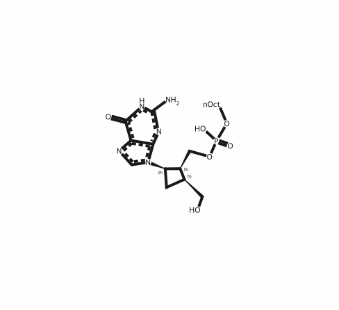 CCCCCCCCOP(=O)(O)OC[C@H]1[C@@H](CO)C[C@H]1n1cnc2c(=O)[nH]c(N)nc21